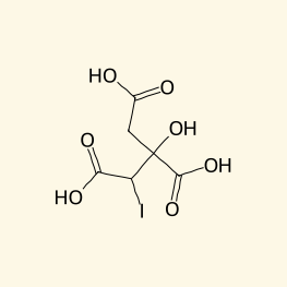 O=C(O)CC(O)(C(=O)O)C(I)C(=O)O